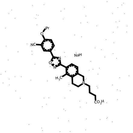 Cc1c(-c2noc(-c3ccc(OC(C)C)c(C#N)c3)n2)ccc2c1CCN(CCCC(=O)O)C2.[NaH]